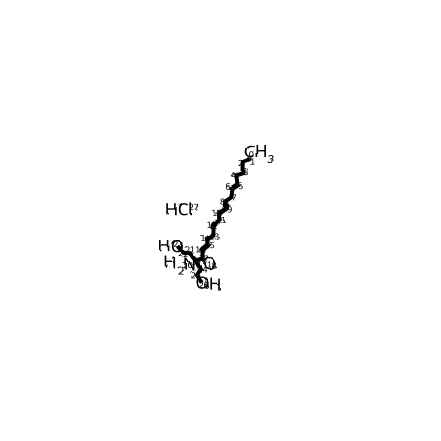 CCCCCCCCC=CCCCCCCCC(=O)C(N)(CCO)CCO.Cl